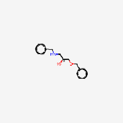 O[C@@H](CNCc1ccccc1)COCc1ccccc1